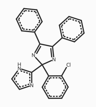 Clc1ccccc1C1(c2ncc[nH]2)N=C(c2ccccc2)C(c2ccccc2)=N1